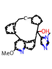 COc1cc2c3cc(ccc3n1)C(O)(c1cncn1C)c1cccc(c1)CCc1cccc-2c1